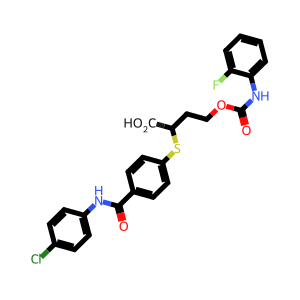 O=C(Nc1ccccc1F)OCCC(Sc1ccc(C(=O)Nc2ccc(Cl)cc2)cc1)C(=O)O